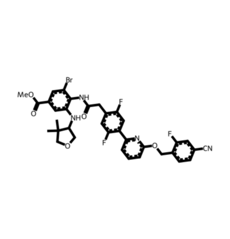 COC(=O)c1cc(Br)c(NC(=O)Cc2cc(F)c(-c3cccc(OCc4ccc(C#N)cc4F)n3)cc2F)c(NC2COCC2(C)C)c1